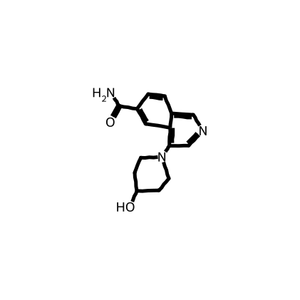 NC(=O)c1ccc2cncc(N3CCC(O)CC3)c2c1